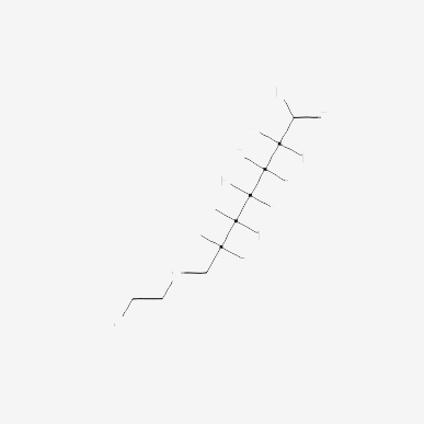 CCCOCC(F)(F)C(F)(F)C(F)(F)C(F)(F)C(F)(F)C(F)F